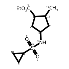 CCOC(=O)C1CC(NS(=O)(=O)C2CC2)CC1C